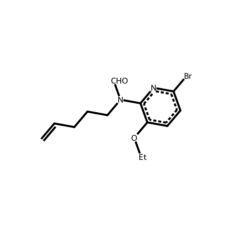 C=CCCCN(C=O)c1nc(Br)ccc1OCC